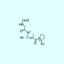 CC(=O)[C@@H]1CCCN1C(=O)/C(C)=C/[C@H](C(C)C)N(C)C(=O)CNC=O